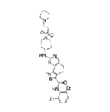 CCc1cccc(CC)c1NC(=O)c1nn(C)c2c1CCc1cnc(NC3CCN(S(=O)(=O)CCN4CCCCC4)CC3)nc1-2